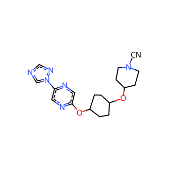 N#CN1CCC(OC2CCC(Oc3cnc(-n4cncn4)cn3)CC2)CC1